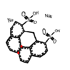 O=S(=O)(O)c1ccc2ccccc2c1Cc1c(S(=O)(=O)O)ccc2ccccc12.[Na].[Na]